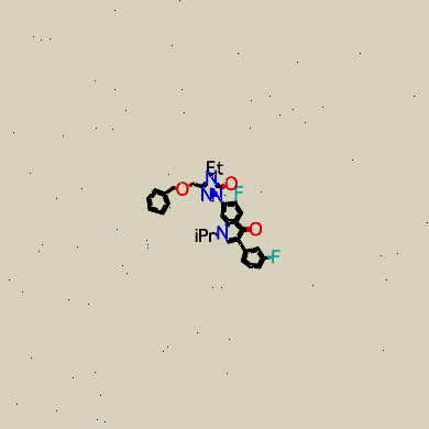 CCn1c(COCc2ccccc2)nn(-c2cc3c(cc2F)c(=O)c(-c2cccc(F)c2)cn3C(C)C)c1=O